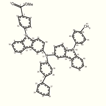 COC(=O)c1ccc(-n2c3ccccc3c3cc(N(c4ccc(-c5ccccc5)cc4)c4ccc5c(c4)c4ccccc4n5-c4ccc(C)cc4)ccc32)cc1